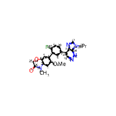 COc1cc2c(cc1-c1cc(-c3cnnc4c3ncn4C(C)C)ccc1F)OCC(=O)N2C